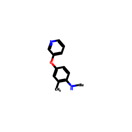 Cc1cc(Oc2cccnc2)ccc1NC(C)(C)C